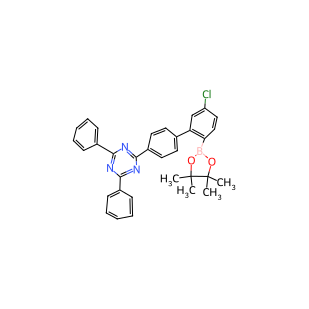 CC1(C)OB(c2ccc(Cl)cc2-c2ccc(-c3nc(-c4ccccc4)nc(-c4ccccc4)n3)cc2)OC1(C)C